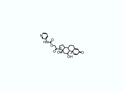 CC12C=CC(=O)C=C1CCC1C2[C@@H](O)CC2(C)C1CC[C@]2(O)C(=O)COC(=O)Nc1cccnc1